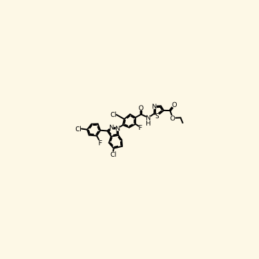 CCOC(=O)c1cnc(NC(=O)c2cc(Cl)c(-n3nc(-c4ccc(Cl)cc4F)c4cc(Cl)ccc43)cc2F)s1